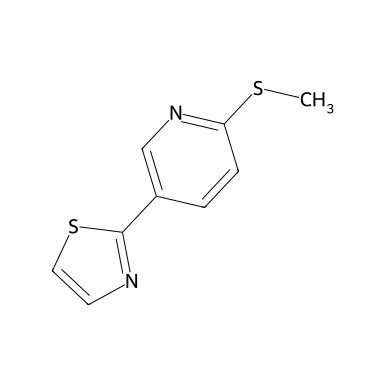 CSc1ccc(-c2nccs2)cn1